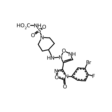 O=C(O)NS(=O)(=O)N1CCC(NN2ONC=C2c2noc(=O)n2-c2ccc(F)c(Br)c2)CC1